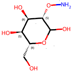 NO[C@@H]1C(O)O[C@H](CO)[C@@H](O)[C@H]1O